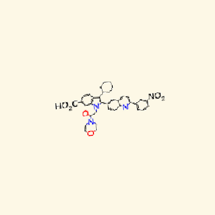 O=C(O)c1ccc2c(C3CCCCC3)c(-c3ccc4nc(-c5cccc([N+](=O)[O-])c5)ccc4c3)n(CC(=O)N3CCOCC3)c2c1